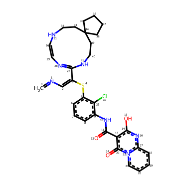 C=N\C=C(Sc1cccc(NC(=O)c2c(O)nc3ccccn3c2=O)c1Cl)/C1=N/C=C\NCCC2(CCCC2)CCN1